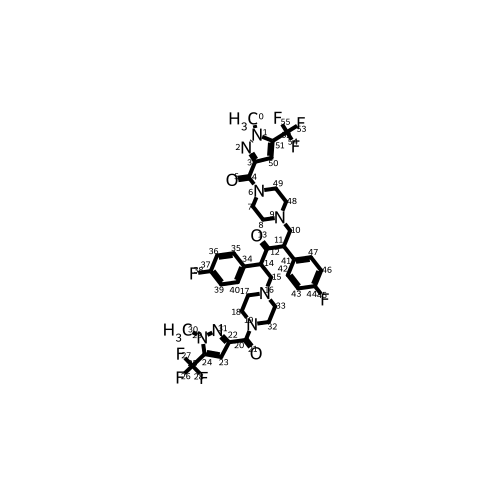 Cn1nc(C(=O)N2CCN(CC(C(=O)C(CN3CCN(C(=O)c4cc(C(F)(F)F)n(C)n4)CC3)c3ccc(F)cc3)c3ccc(F)cc3)CC2)cc1C(F)(F)F